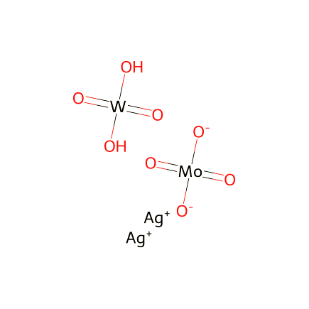 [Ag+].[Ag+].[O]=[Mo](=[O])([O-])[O-].[O]=[W](=[O])([OH])[OH]